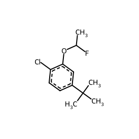 CC(F)Oc1cc(C(C)(C)C)ccc1Cl